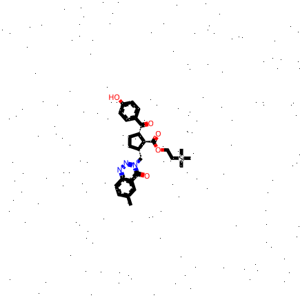 Cc1ccc2nnn(C[C@@H]3CC[C@H](C(=O)c4ccc(O)cc4)[C@H]3C(=O)OCC[Si](C)(C)C)c(=O)c2c1